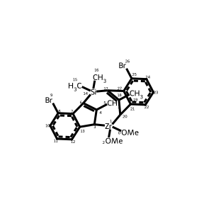 C[O][Zr]1([O]C)[CH]2C(C)=C(c3c(Br)cccc32)[Si](C)(C)C2=C(C)[CH]1c1cccc(Br)c12